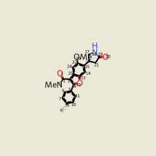 CNC(=O)c1c(-c2ccc(F)cc2)oc2cc(C3CNC(=O)C3)c(OC)cc12